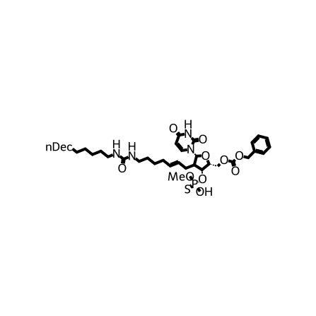 CCCCCCCCCCCCCCCNC(=O)NCCCC/C=C/CC1[C@@H](OP(O)(=S)OC)[C@@H](COC(=O)OCc2ccccc2)O[C@H]1n1ccc(=O)[nH]c1=O